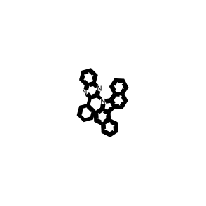 C1=CC(c2nc3ccccc3nc2-n2c3ccc4ccccc4c3c3ccc4ccccc4c32)=CCC1